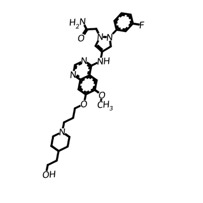 COc1cc2c(NC3=CN(CC(N)=O)N(c4cccc(F)c4)C3)ncnc2cc1OCCCN1CCC(CCO)CC1